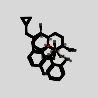 CO[C@]12CC[C@@]3(C[C@]1(C)[C@H](O)c1ccccc1C)[C@H]1Cc4ccc(O)c5c4[C@@]3(CCN1CC1CC1)[C@H]2O5